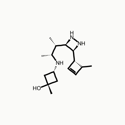 CC1C=C[C@@H]1[C@@H]1NN[C@@H]1[C@@H](C)[C@@H](C)N[C@H]1C[C@@](C)(O)C1